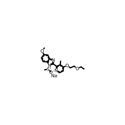 CCOCCOc1ccnc(-c2nc3cc(OC)ccc3n2[S+](C)[O-])c1C.[Na]